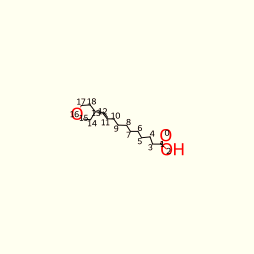 O=C(O)CCCCCCCCC=CC1CCOCC1